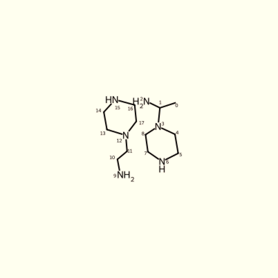 CC(N)N1CCNCC1.NCCN1CCNCC1